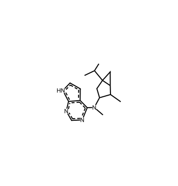 CC1C(N(C)c2ncnc3[nH]ccc23)CC2(C(C)C)CC12